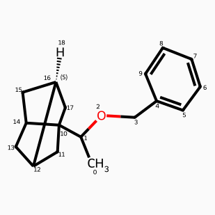 CC(OCc1ccccc1)C12CC3CC1C[C@H]3C2